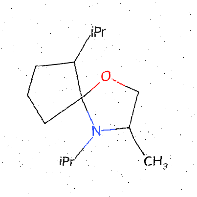 CC(C)C1CCCC12OCC(C)N2C(C)C